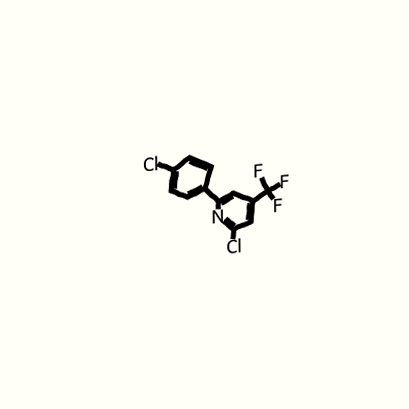 FC(F)(F)c1cc(Cl)nc(-c2ccc(Cl)cc2)c1